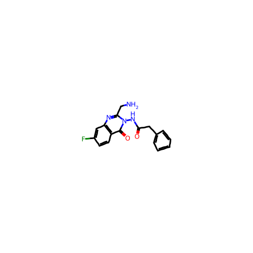 NCc1nc2cc(F)ccc2c(=O)n1NC(=O)Cc1ccccc1